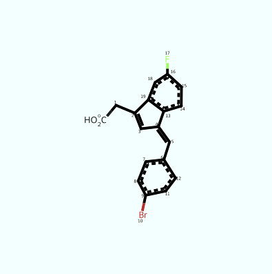 O=C(O)CC1=C/C(=C\c2ccc(Br)cc2)c2ccc(F)cc21